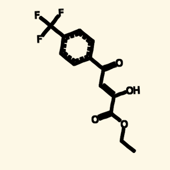 CCOC(=O)/C(O)=C/C(=O)c1ccc(C(F)(F)F)cc1